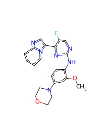 COc1cc(N2CCOCC2)ccc1Nc1ncc(F)c(-c2cnc3ccccn23)n1